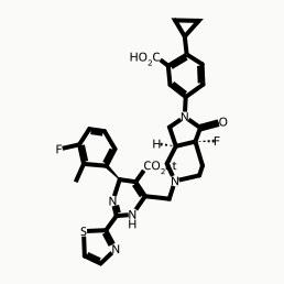 CCOC(=O)C1=C(CN2CC[C@]3(F)C(=O)N(c4ccc(C5CC5)c(C(=O)O)c4)C[C@@H]3C2)NC(c2nccs2)=N[C@H]1c1cccc(F)c1C